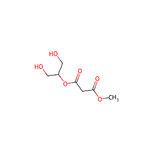 COC(=O)CC(=O)OC(CO)CO